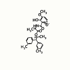 COc1cc[n+]([O-])c(C(=O)N[C@@H](C)C(=O)O[C@@H](C)C(c2cccc(C)c2)c2cccc(C)c2)c1O